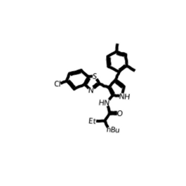 CCCCC(CC)C(=O)Nc1[nH]cc(-c2ccc(C)cc2C)c1-c1nc2cc(Cl)ccc2s1